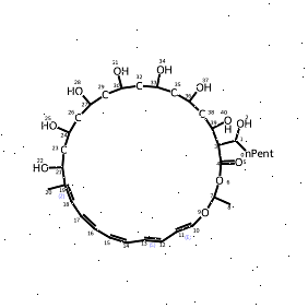 CCCCCC(O)C1C(=O)OC(C)O/C=C/C=C/C=CC=C/C=C(/C)C(O)CC(O)CC(O)CC(O)CC(O)CC(O)CC1O